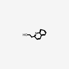 OC[CH]c1ccc2ccccc2n1